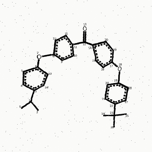 CC(C)c1ccc(Oc2ccc(C(=O)c3ccc(Oc4ccc(C(C)(C)C)cc4)cc3)cc2)cc1